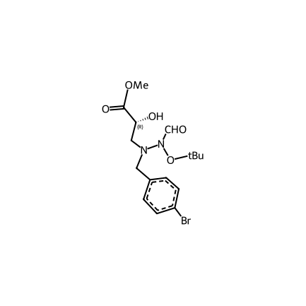 COC(=O)[C@H](O)CN(Cc1ccc(Br)cc1)N(C=O)OC(C)(C)C